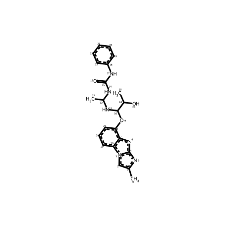 Cc1cn2c(n1)sc1c(OC(NC(C)NC(=O)Nc3ccccc3)C(C)O)cccc12